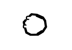 C1=CCCCCCC/C=C\CC1